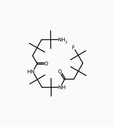 CC(C)(N)CC(C)(C)CC(=O)NC(C)(C)CC(C)(C)NC(=O)CC(C)(C)CC(C)(C)F